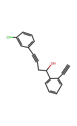 C#Cc1ccccc1C(O)CC#Cc1cccc(Cl)c1